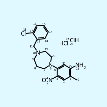 Cc1cc([N+](=O)[O-])c(N2CCCN(Cc3ccccc3Cl)CC2)cc1N.Cl.Cl